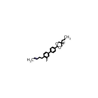 C/C=C/CCc1ccc(-c2ccc(C3OCC(F)(CCC)CO3)cc2)cc1F